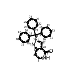 O=c1[nH]ccc2nn(C(c3ccccc3)(c3ccccc3)c3ccccc3)cc12